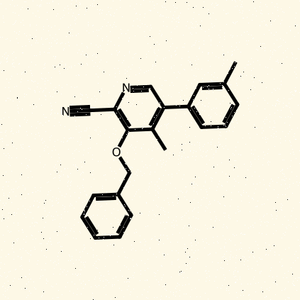 Cc1cccc(-c2cnc(C#N)c(OCc3ccccc3)c2C)c1